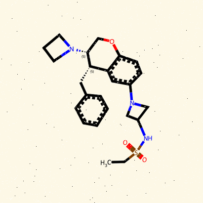 CCS(=O)(=O)NC1CN(c2ccc3c(c2)[C@H](Cc2ccccc2)[C@H](N2CCC2)CO3)C1